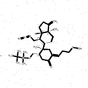 C=C1CC[C@H]2[C@H](CN=[N+]=[N-])[C@@H]([C@@]3(C)C/C(=C\CCSO)C(=O)C[C@@H]3CO[Si](C)(C)C(C)(C)C)CC[C@]12C